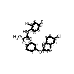 C[C@@H](Oc1ccc(Oc2cnc3cc(Cl)ccc3n2)cc1)C(=O)Nc1ccc(F)cc1F